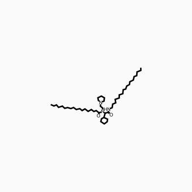 CCCCCCCCCCCCCCCCCCNC(=O)C(C1CCCCC1)N(CCN1CCCCC1)C(=O)CCCCCCCCCCCCCCCCC